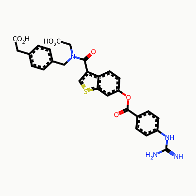 N=C(N)Nc1ccc(C(=O)Oc2ccc3c(C(=O)N(CC(=O)O)Cc4ccc(CC(=O)O)cc4)csc3c2)cc1